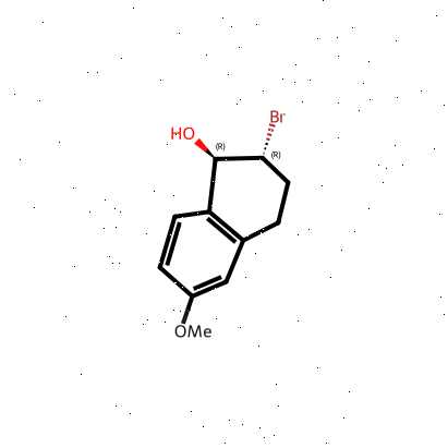 COc1ccc2c(c1)CC[C@@H](Br)[C@@H]2O